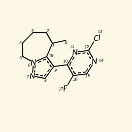 CC1CCCCn2ncc(-c3nc(Cl)ncc3F)c21